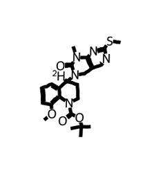 [2H]C1(N2Cc3cnc(SC)nc3N(C)C2=O)CCN(C(=O)OC(C)(C)C)c2c(OC)cccc21